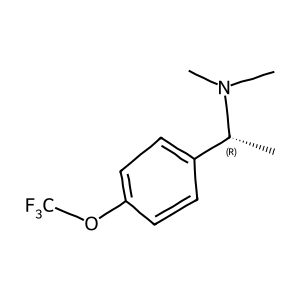 C[C@H](c1ccc(OC(F)(F)F)cc1)N(C)C